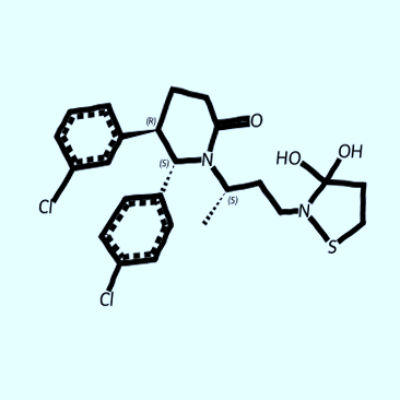 C[C@@H](CCN1SCCC1(O)O)N1C(=O)CC[C@H](c2cccc(Cl)c2)[C@H]1c1ccc(Cl)cc1